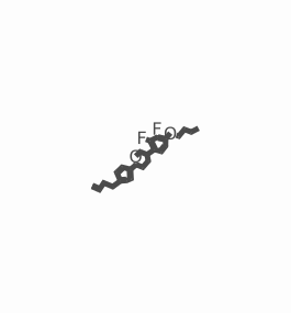 C=CCCc1ccc(C2CCC(c3ccc(OCCCC)c(F)c3F)CO2)cc1